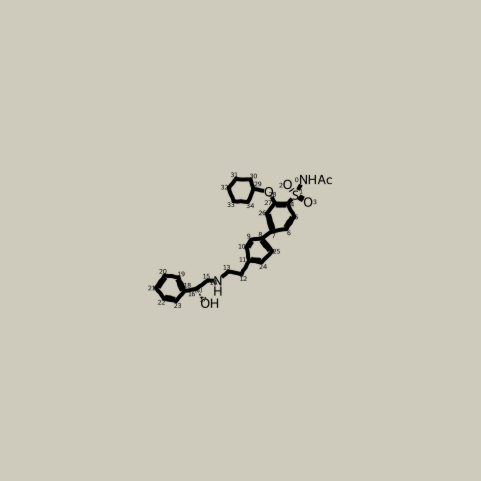 CC(=O)NS(=O)(=O)c1ccc(-c2ccc(CCNC[C@H](O)c3ccccc3)cc2)cc1OC1CCCCC1